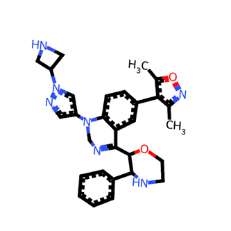 Cc1noc(C)c1-c1ccc2c(c1)C(C1OCCNC1c1ccccc1)=NCN2c1cnn(C2CNC2)c1